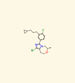 C[C@@H]1Cn2c(-c3ccc(F)c(CCCC4CC4)c3)nc(Br)c2CCO1